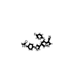 CC(=O)NC1CCC(n2cc(-c3cc(Sc4ccc(F)cn4)c4c(C#N)cnn4c3)cn2)CC1